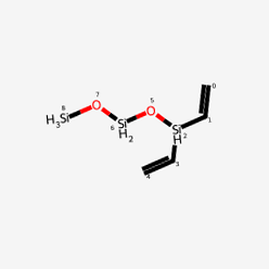 C=C[SiH](C=C)O[SiH2]O[SiH3]